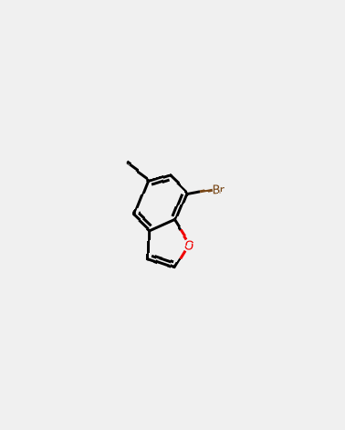 Cc1cc(Br)c2occc2c1